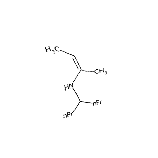 C/C=C(/C)NC(CCC)CCC